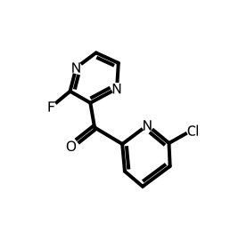 O=C(c1cccc(Cl)n1)c1nccnc1F